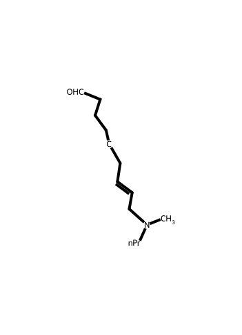 CCCN(C)CC=CCCCCCC=O